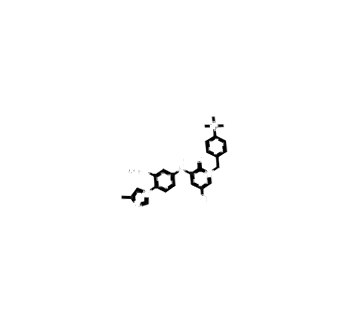 COc1cc(Nc2cc(Cl)cn([C@@H](C)c3ccc([Si](C)(C)C)cc3)c2=O)ccc1-n1cnc(C)c1